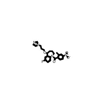 Cc1cc([N+](=O)[O-])ccc1C(=O)N1CCCC(OCCCn2ccnc2)c2cc(F)ccc21